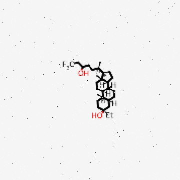 CC[C@]1(O)CC[C@@]2(C)[C@@H](CC[C@@H]3[C@@H]2CC[C@]2(C)[C@@H]([C@H](C)CC[C@@H](O)CC(F)(F)F)CC[C@@H]32)C1